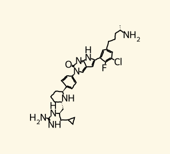 C[C@H](N)CCCc1cc(Cl)c(F)c(-c2cc3cn(-c4ccc([C@@H]5CCC[C@@H](C[C@@H](CC6CC6)NC(=N)N)N5)cc4)c(=O)nc3[nH]2)c1